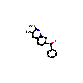 CCc1cc2ccc(C(=O)c3ccccc3)cc2nc1OC